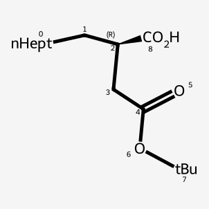 CCCCCCCC[C@H](CC(=O)OC(C)(C)C)C(=O)O